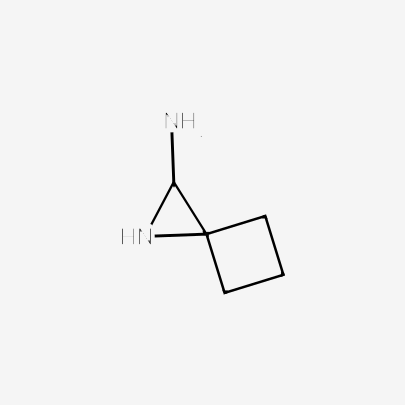 NC1NC12CCC2